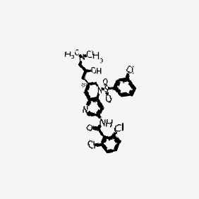 CN(C)CC(O)C[C@@H]1Cc2ncc(NC(=O)c3c(Cl)cccc3Cl)cc2N(S(=O)(=O)c2cccc(Cl)c2)C1